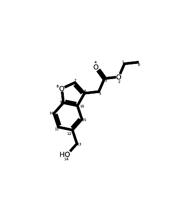 CCOC(=O)Cc1coc2ccc(CO)cc12